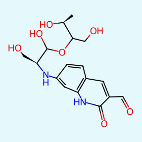 C[C@H](O)C(CO)OC(O)[C@H](CO)Nc1ccc2cc(C=O)c(=O)[nH]c2c1